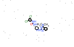 CN(C)c1nc(N[C@H]2CC[C@@H](CNC(=O)Nc3cc(Cl)cc(Cl)c3)CC2)nc2ccccc12